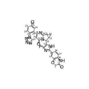 O=C1COc2cc(-c3nc(F)c(C4C5CC5c5nc(-c6cc(Cl)ccc6-n6cnnn6)cc(=O)n54)[nH]3)ccc2N1